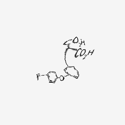 O=C(O)C(Cc1cccc(Oc2ccc(F)cc2)c1)C(=O)O